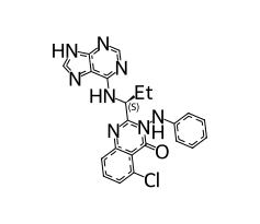 CC[C@H](Nc1ncnc2[nH]cnc12)c1nc2cccc(Cl)c2c(=O)n1Nc1ccccc1